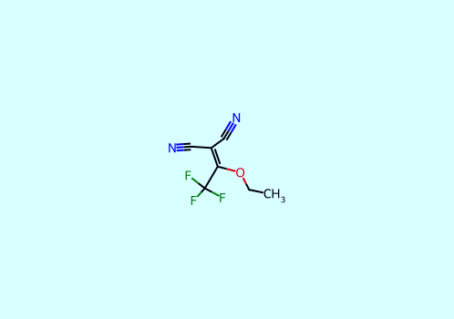 CCOC(=C(C#N)C#N)C(F)(F)F